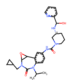 CC(C)N1C(=O)N(CC2CC2)C2OC2c2cc(NC(=O)N3CCC[C@@H](NC(O)c4ccccn4)C3)ccc21